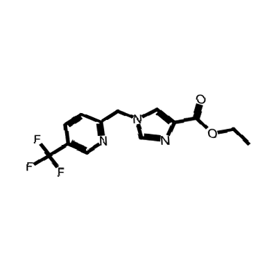 CCOC(=O)c1cn(Cc2ccc(C(F)(F)F)cn2)cn1